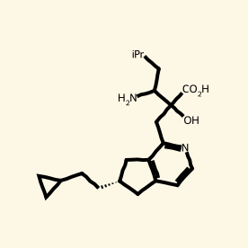 CC(C)CC(N)C(O)(Cc1nccc2c1C[C@@H](CCC1CC1)C2)C(=O)O